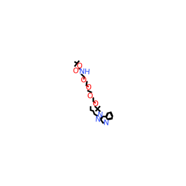 CCCCc1nc2cnc3ccccc3c2n1CC(C)(C)COCCOCCOCCOCCNC(=O)OC(C)(C)C